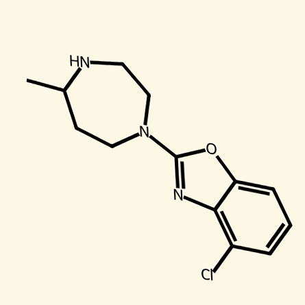 CC1CCN(c2nc3c(Cl)cccc3o2)CCN1